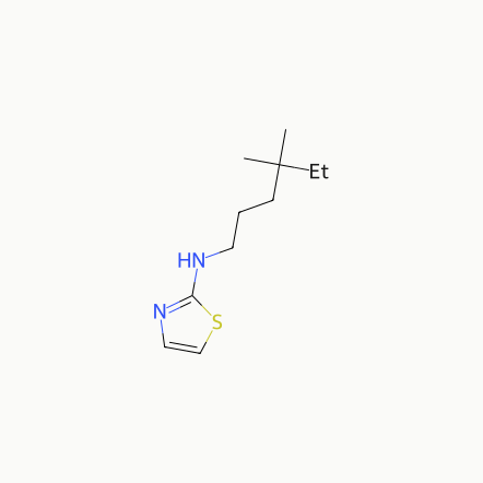 CCC(C)(C)CCCNc1nccs1